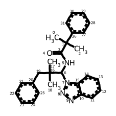 CC(C)(C(=O)NC(n1nnc2ccccc21)C(C)(C)Cc1ccccc1)c1ccccc1